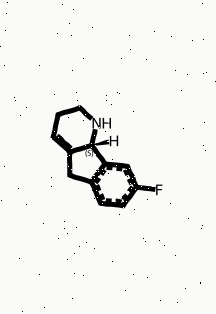 Fc1ccc2c(c1)[C@H]1NCCC=C1C2